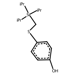 CC(C)[Si](CSc1ccc(O)cc1)(C(C)C)C(C)C